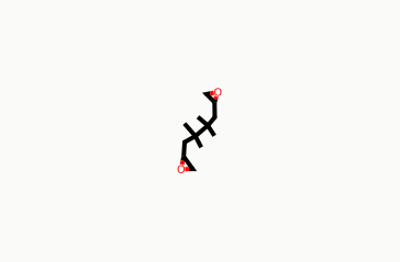 CC(C)(CC1CO1)C(C)(C)CC1CO1